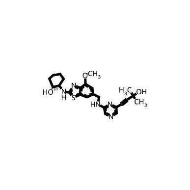 COc1cc(CNc2cncc(C#CC(C)(C)O)n2)cc2sc(NC3CCCC[C@H]3O)nc12